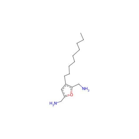 CCCCCCCCCc1cc(CN)oc1CN